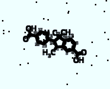 CC1c2cc(C(=O)O)ccc2C(C)(C)C1c1ccc(C(=O)O)cc1